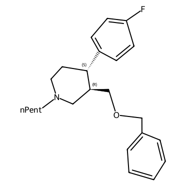 CCCCCN1CC[C@H](c2ccc(F)cc2)[C@@H](COCc2ccccc2)C1